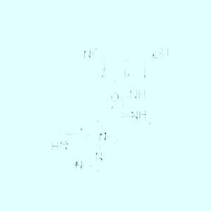 N#Cc1ccc(C(CCO)NC(=O)C2(N)CCN(c3ncnc4[nH]ccc34)CC2)cc1